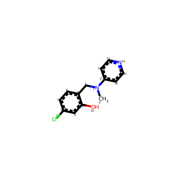 CN(Cc1ccc(Cl)cc1O)c1ccncc1